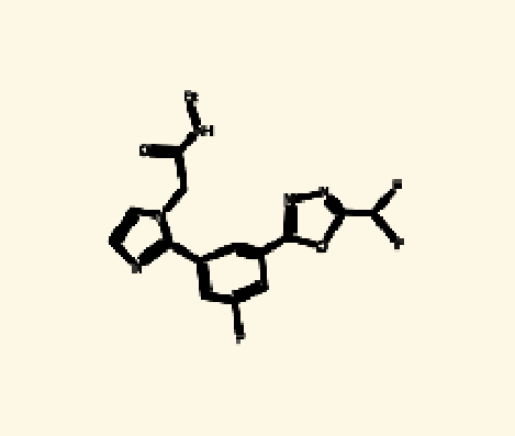 CCNC(=O)Cn1ccnc1-c1cc(F)cc(-c2nnc(C(F)F)o2)c1